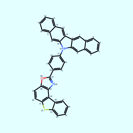 c1ccc2cc3c(cc2c1)c1cc2ccccc2cc1n3-c1ccc(-c2nc3c(ccc4sc5ccccc5c43)o2)cc1